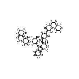 c1ccc2c(c1)ccc1ccc(-c3ccc(N(c4ccc(-c5ccc6ccc7ccccc7c6c5)cc4)c4cccc5c4sc4ccccc45)cc3)cc12